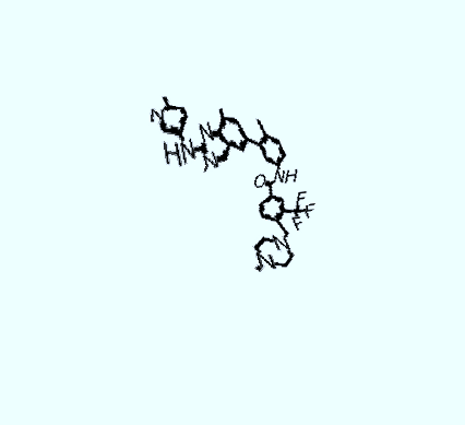 Cc1ccc(Nc2ncc3cc(-c4cc(NC(=O)c5ccc(CN6CCN(C)CC6)c(C(F)(F)F)c5)ccc4C)cc(C)c3n2)cn1